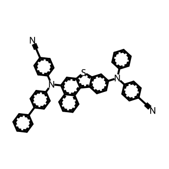 N#Cc1ccc(N(c2ccccc2)c2ccc3c(c2)sc2cc(N(c4ccc(C#N)cc4)c4ccc(-c5ccccc5)cc4)c4ccccc4c23)cc1